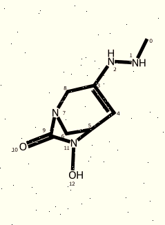 CNNC1=CC2CN(C1)C(=O)N2O